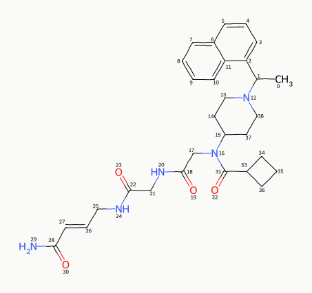 CC(c1cccc2ccccc12)N1CCC(N(CC(=O)NCC(=O)NC/C=C/C(N)=O)C(=O)C2CCC2)CC1